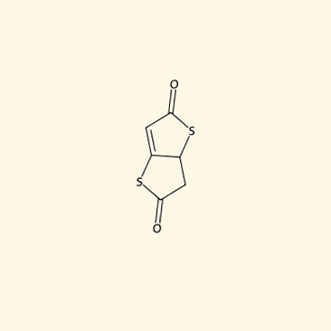 O=C1C=C2SC(=O)CC2S1